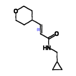 O=C(/C=C/C1CCOCC1)NCC1CC1